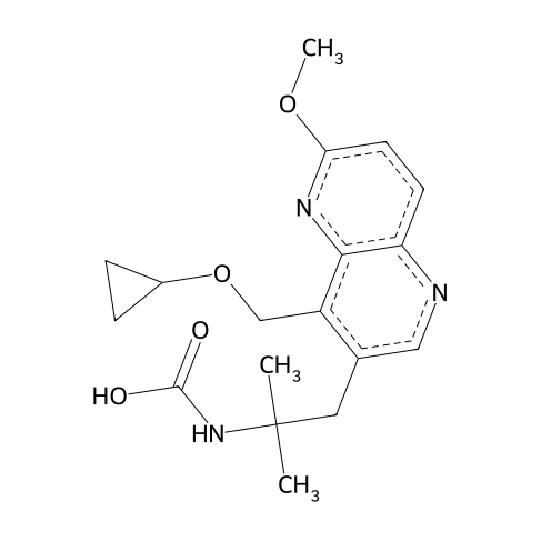 COc1ccc2ncc(CC(C)(C)NC(=O)O)c(COC3CC3)c2n1